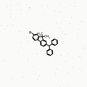 CC1(C)c2cc(Br)ccc2-c2ccc(C(c3ccccc3)c3ccccc3)cc21